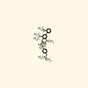 COc1ccccc1-c1cc(C(C)C)c(CC(=O)NS(=O)(=O)c2ccc(CN(C)C)cc2)c(C(C)C)c1